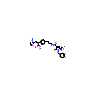 Cc1c(C(=O)NCC=Cc2ccc3c(c2)NC(=O)C3=Cc2ncc[nH]2)c(=O)n(Cc2ccc(F)c(F)c2)n1C